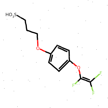 O=S(=O)(O)CCCOc1ccc(OC(F)=C(F)F)cc1